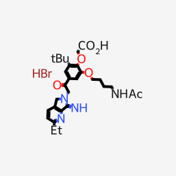 Br.CCc1ccc2c(n1)C(=N)N(CC(=O)c1cc(OCCCCNC(C)=O)c(OCC(=O)O)c(C(C)(C)C)c1)C2